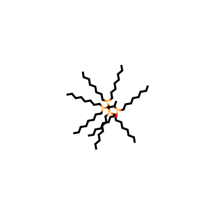 CCCCCCCCP(CCCCCCCC)C(C)C(P(CCCCCCCC)CCCCCCCC)(P(CCCCCCCC)CCCCCCCC)P(CCCCCCCC)CCCCCCCC